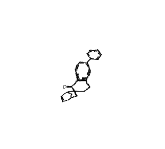 O=C1c2ccc(-c3ccccc3)cc2CCC12CC1C=CC2C1